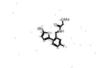 COCC(=O)NCc1cc(F)ccc1-c1ccc(C(C)(C)C)s1